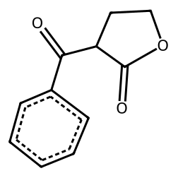 O=C1OCCC1C(=O)c1ccccc1